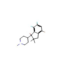 CN1CCC(C2(O)c3c(F)c(F)cc(Br)c3CC2(C)C)CC1